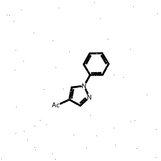 CC(=O)c1cnn(-c2ccccc2)c1